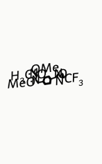 CON(C)C(=O)N(Cc1ccc(-c2noc(C(F)(F)F)n2)cc1)OC